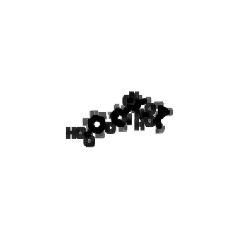 Cc1noc(-c2ccc(O[C@H]3CCC[C@H](C(=O)O)C3)cn2)c1NC(=O)OC(C)C1CC1